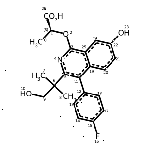 C[C@H](Oc1nc(C(C)(C)CO)c(-c2ccc(F)cc2)c2ccc(O)cc12)C(=O)O